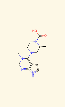 C[C@H]1CN(C2=c3cc[nH]c3=NCN2C)CCN1C(=O)O